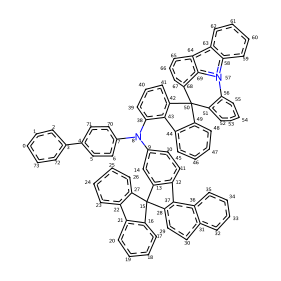 c1ccc(-c2ccc(N(c3ccc4c(c3)C3(c5ccccc5-c5ccccc53)c3ccc5ccccc5c3-4)c3cccc4c3-c3ccccc3C43c4ccccc4-n4c5ccccc5c5cccc3c54)cc2)cc1